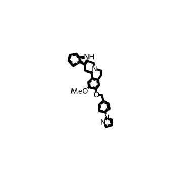 COc1cc2c(cc1OCc1ccc(-n3cccn3)cc1)CCN1Cc3[nH]c4ccccc4c3CC21